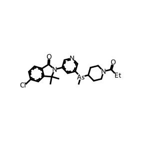 CCC(=O)N1CCC([As](C)c2cncc(N3C(=O)c4ccc(Cl)cc4C3(C)C)c2)CC1